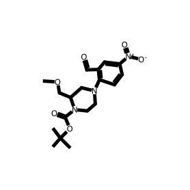 COCC1CN(c2ccc([N+](=O)[O-])cc2C=O)CCN1C(=O)OC(C)(C)C